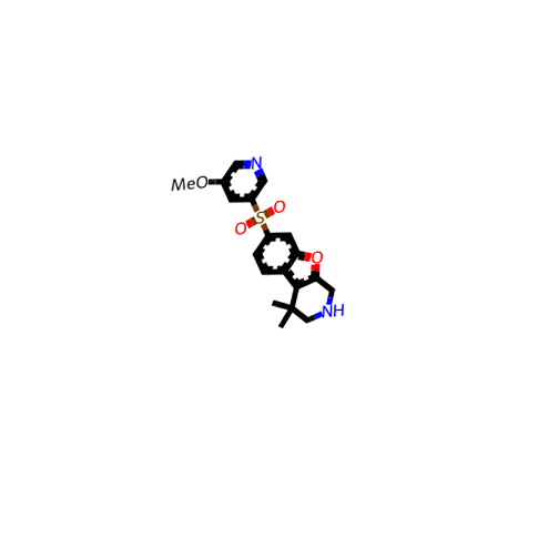 COc1cncc(S(=O)(=O)c2ccc3c4c(oc3c2)CNCC4(C)C)c1